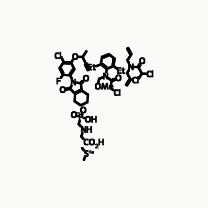 C#CC(C)Oc1cc(N2C(=O)C3=C(CCCC3)C2=O)c(F)cc1Cl.C=CCN(CC=C)C(=O)C(Cl)Cl.CCc1cccc(CC)c1N(COC)C(=O)CCl.C[S+](C)C.O=C(O)CNCP(=O)([O-])O